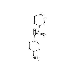 NC1CCC(NC(=O)C2CCCCC2)CC1